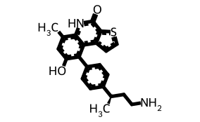 Cc1cc(O)c(-c2ccc([C@H](C)CCN)cc2)c2c1[nH]c(=O)c1sccc12